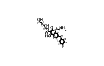 NCCn1c(=O)c(C(=O)NCCOCCO)c(O)c2ncc(Cc3ccc(F)cc3)cc21